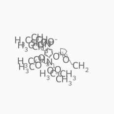 C=CCO[C@H]1CCC[C@@H]1Oc1cc([N+](=O)[O-])c(CO[Si](C)(C)C(C)(C)C)cc1N(CC(=O)OC(C)(C)C)CC(=O)OC(C)(C)C